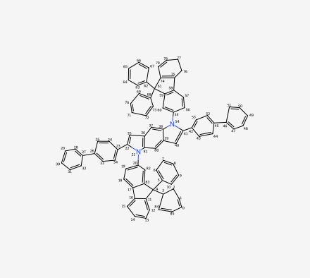 C1=CCC(C2(c3ccccc3)c3ccccc3-c3ccc(-n4c(-c5ccc(-c6ccccc6)cc5)cc5cc6c(cc(-c7ccc(-c8ccccc8)cc7)n6-c6ccc7c(c6)C(c6ccccc6)(c6ccccc6)C6=C7CCC=C6)cc54)cc32)C=C1